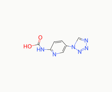 O=C(O)Nc1ccc(-n2cnnn2)cn1